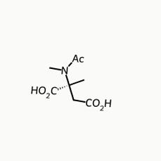 CC(=O)N(C)[C@@](C)(CC(=O)O)C(=O)O